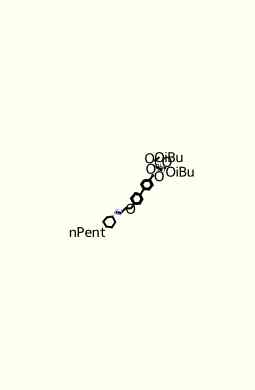 CCCCC[C@H]1CC[C@H](/C=C/COc2ccc(-c3ccc(C4O[C@@H](C(=O)OCC(C)C)[C@H](C(=O)OCC(C)C)O4)cc3)cc2)CC1